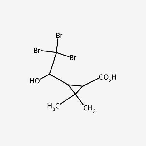 CC1(C)C(C(=O)O)C1C(O)C(Br)(Br)Br